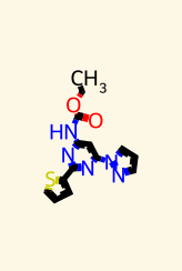 CCOC(=O)Nc1cc(-n2cccn2)nc(-c2cccs2)n1